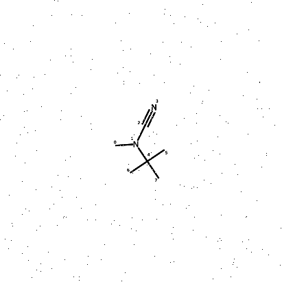 CN(C#N)C(C)(C)C